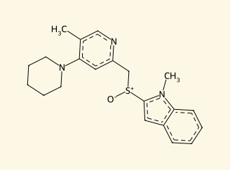 Cc1cnc(C[S+]([O-])c2cc3ccccc3n2C)cc1N1CCCCC1